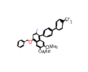 COc1cc2c(OCc3ccccc3)cc(I)c(-c3ccc(-c4ccc(C(F)(F)F)cc4)cc3)c2cc1OC